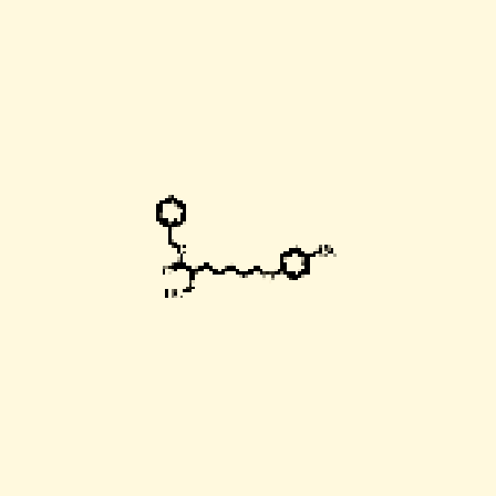 CC(C)(C)c1ccc(OCCCCCC(=NO)C(=O)OCc2ccccc2)cc1